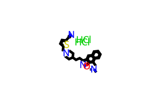 CN(C)Cc1c2ccccc2cc2c(CCC3CCN(Cc4ccc(C#N)s4)CC3)noc12.Cl.Cl